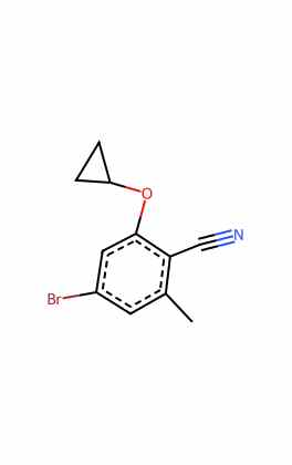 Cc1cc(Br)cc(OC2CC2)c1C#N